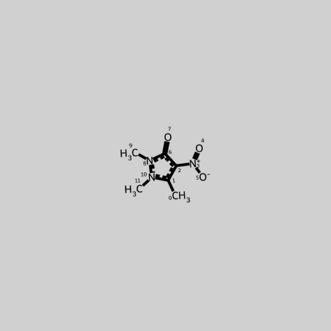 Cc1c([N+](=O)[O-])c(=O)n(C)n1C